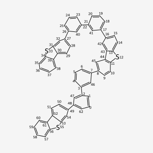 c1cc(-c2cccc(-c3ccc4sc5ccc(-c6cccc(-c7cccc(-c8ccc9c(c8)sc8ccccc89)c7)c6)cc5c4c3)c2)cc(-c2ccc3c(c2)sc2ccccc23)c1